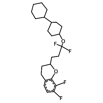 Fc1ccc2c(c1F)OC(CCC(F)(F)OC1CCC(C3CCCCC3)CC1)CC2